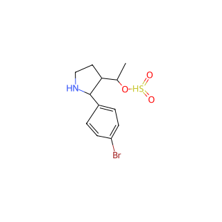 CC(O[SH](=O)=O)C1CCNC1c1ccc(Br)cc1